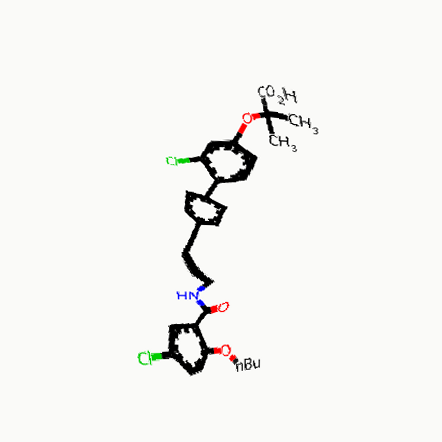 CCCCOc1ccc(Cl)cc1C(=O)NCCc1ccc(-c2ccc(OC(C)(C)C(=O)O)cc2Cl)cc1